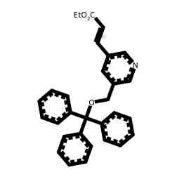 CCOC(=O)/C=C/c1cncc(COC(c2ccccc2)(c2ccccc2)c2ccccc2)c1